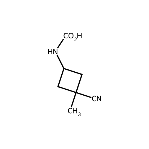 CC1(C#N)CC(NC(=O)O)C1